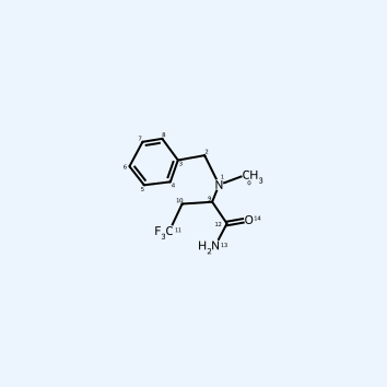 CN(Cc1ccccc1)C(CC(F)(F)F)C(N)=O